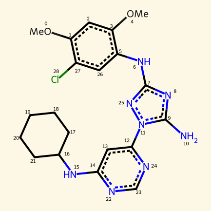 COc1cc(OC)c(Nc2nc(N)n(-c3cc(NC4CCCCC4)ncn3)n2)cc1Cl